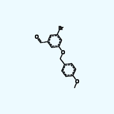 COc1ccc(COc2cc(Br)cc(C=O)c2)cc1